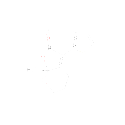 CC12OCCCC1=C(c1cccs1)C(=O)O2